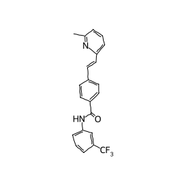 Cc1cccc(C=Cc2ccc(C(=O)Nc3cccc(C(F)(F)F)c3)cc2)n1